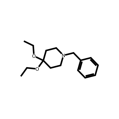 CCOC1(OCC)CCN(Cc2ccccc2)CC1